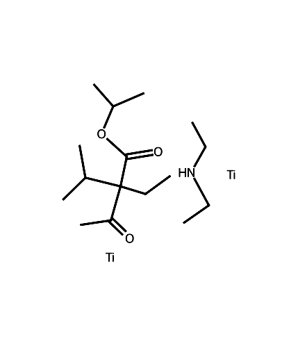 CCC(C(C)=O)(C(=O)OC(C)C)C(C)C.CCNCC.[Ti].[Ti]